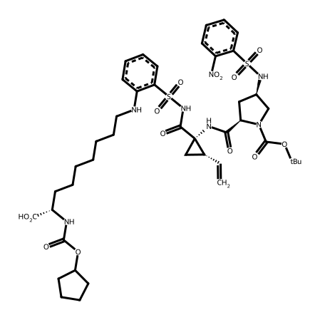 C=C[C@@H]1C[C@@]1(NC(=O)[C@H]1C[C@@H](NS(=O)(=O)c2ccccc2[N+](=O)[O-])CN1C(=O)OC(C)(C)C)C(=O)NS(=O)(=O)c1ccccc1NCCCCCCC[C@H](NC(=O)OC1CCCC1)C(=O)O